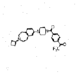 O=C(c1ccc(C(=O)C(F)(F)F)cc1)N1CCN(c2ccc3c(c2)CCN(C2CCC2)CC3)CC1